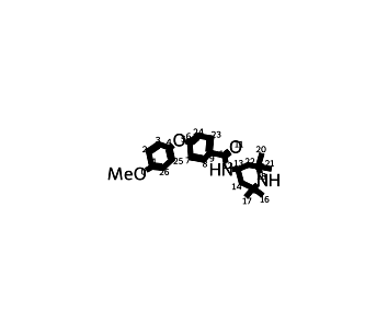 COc1ccc(Oc2ccc(C(=O)NC3CC(C)(C)NC(C)(C)C3)cc2)cc1